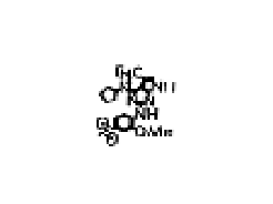 COc1cc(S(C)(=O)=O)ccc1Nc1nc(NC2CCCC2)c2c(C(F)(F)F)c[nH]c2n1